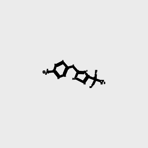 O=[N+]([O-])c1ccc(Cc2nc(C(F)(F)C(F)(F)F)cs2)cc1